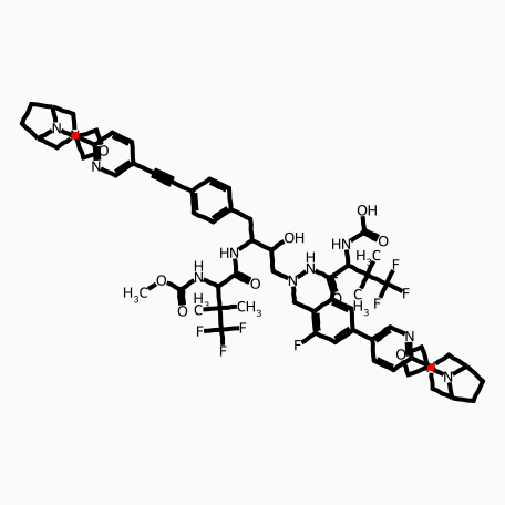 COC(=O)NC(C(=O)NC(Cc1ccc(C#Cc2ccc(N3CC4CCC(C3)N4C3COC3)nc2)cc1)C(O)CN(Cc1c(F)cc(-c2ccc(N3CC4CCC(C3)N4C3COC3)nc2)cc1F)NC(=O)C(NC(=O)O)C(C)(C)C(F)(F)F)C(C)(C)C(F)(F)F